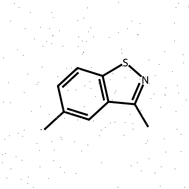 [CH2]c1ccc2snc(C)c2c1